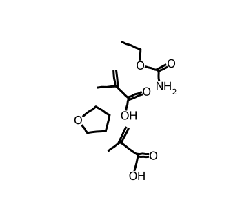 C1CCOC1.C=C(C)C(=O)O.C=C(C)C(=O)O.CCOC(N)=O